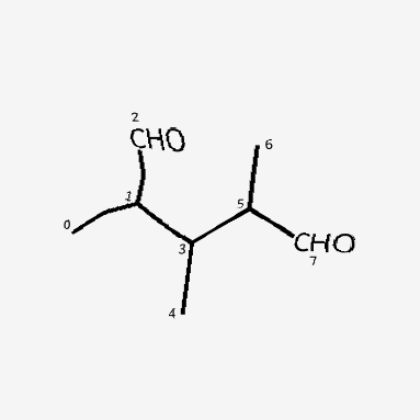 CC(C=O)C(C)C(C)C=O